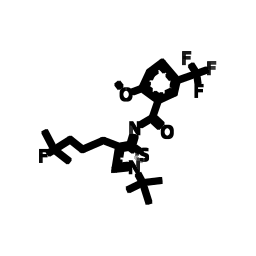 COc1ccc(C(F)(F)F)cc1C(=O)/N=c1\sn(C(C)(C)C)cc1CCCC(C)(C)F